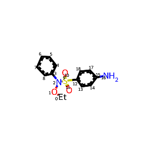 CCON(c1ccccc1)S(=O)(=O)c1ccc(N)cc1